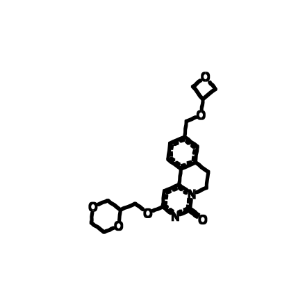 O=c1nc(OCC2COCCO2)cc2n1CCc1cc(COC3COC3)ccc1-2